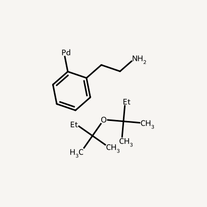 CCC(C)(C)OC(C)(C)CC.NCCc1cccc[c]1[Pd]